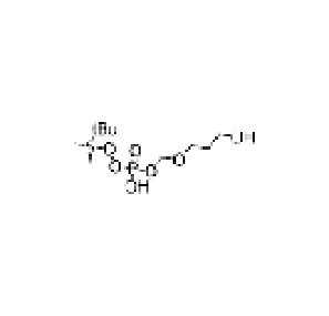 CC(C)(C)[Si](C)(C)OOP(=O)(O)OCOCCCO